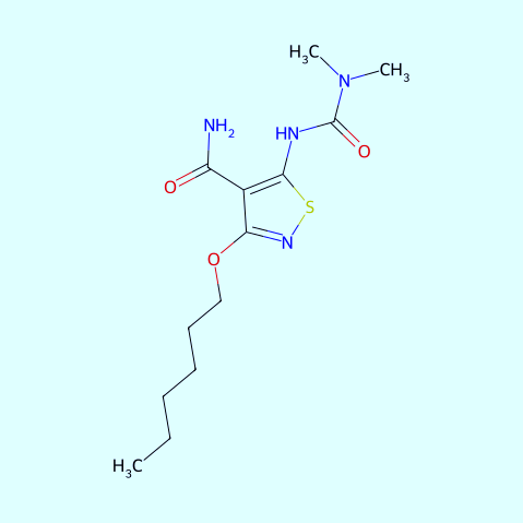 CCCCCCOc1nsc(NC(=O)N(C)C)c1C(N)=O